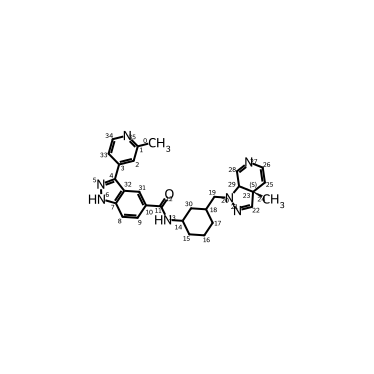 Cc1cc(-c2n[nH]c3ccc(C(=O)NC4CCCC(CN5N=C[C@@]6(C)C=CN=CC56)C4)cc23)ccn1